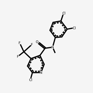 CN(C(=O)c1cnc(Cl)cc1C(F)(F)F)c1ccc(Cl)c(Cl)c1